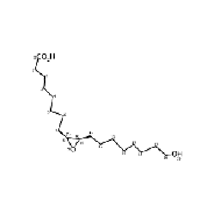 O=C(O)CCCCCCC[C@@H]1O[C@@H]1CCCCCCCCO